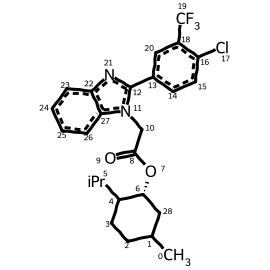 CC1CCC(C(C)C)[C@H](OC(=O)Cn2c(-c3ccc(Cl)c(C(F)(F)F)c3)nc3ccccc32)C1